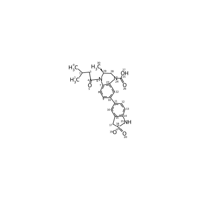 CC(C)CC(=O)N1c2ccc(-c3ccc4c(c3)CS(=O)(=O)N4)cc2N(C(=O)O)C[C@@H]1C